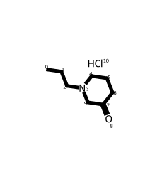 CCCN1CCCC(=O)C1.Cl